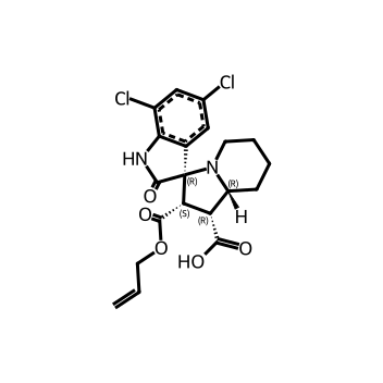 C=CCOC(=O)[C@H]1[C@@H](C(=O)O)[C@H]2CCCCN2[C@]12C(=O)Nc1c(Cl)cc(Cl)cc12